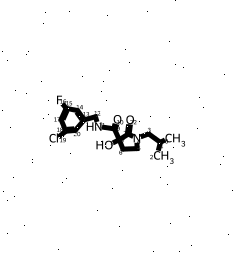 CC(C)CN1CCC(O)(C(=O)NCc2cc(F)cc(Cl)c2)C1=O